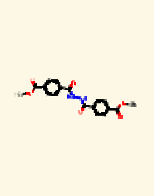 CCCCOC(=O)c1ccc(C(=O)NNC(=O)c2ccc(C(=O)OCCCC)cc2)cc1